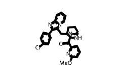 COc1cccc(C(=O)N2CC3CCC2(Cc2c(-c4ccc(Cl)cc4)nc4ccccn24)CN3)n1